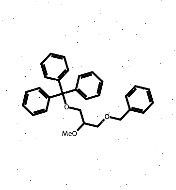 COC(COCc1ccccc1)COC(c1ccccc1)(c1ccccc1)c1ccccc1